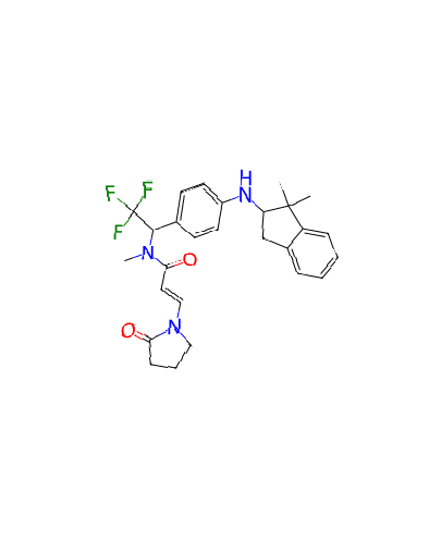 CN(C(=O)C=CN1CCCC1=O)C(c1ccc(NC2Cc3ccccc3C2(C)C)cc1)C(F)(F)F